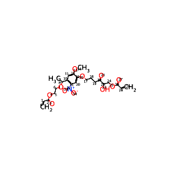 C=CC(=O)OCCOC(C)c1cc(OC)c(OCCCC(=O)C(O)COC(=O)C=C)cc1[N+](=O)[O-]